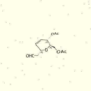 CC(=O)OC[C@H]1O[C@H](CC=O)C=C[C@@H]1OC(C)=O